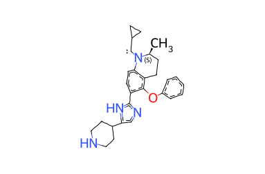 C[C@H]1CCc2c(ccc(-c3ncc(C4CCNCC4)[nH]3)c2Oc2ccccc2)N1[C]C1CC1